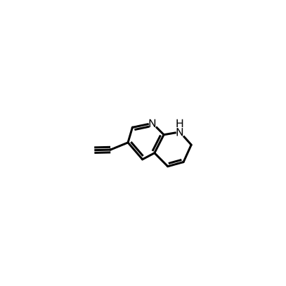 C#Cc1cnc2c(c1)C=CCN2